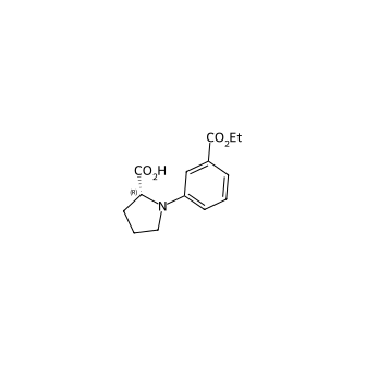 CCOC(=O)c1cccc(N2CCC[C@@H]2C(=O)O)c1